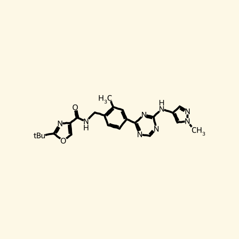 Cc1cc(-c2ncnc(Nc3cnn(C)c3)n2)ccc1CNC(=O)c1coc(C(C)(C)C)n1